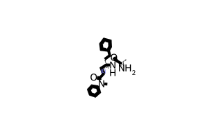 C[C@H](N)C(=O)N[C@H](/C=C/C(=O)N(C)c1ccccc1)CCc1ccccc1